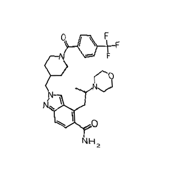 CC(Cc1c(C(N)=O)ccc2nn(CC3CCN(C(=O)c4ccc(C(F)(F)F)cc4)CC3)cc12)N1CCOCC1